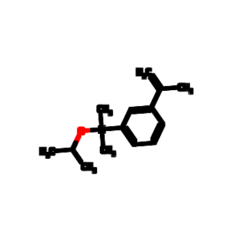 C=C(C)c1cccc([Si](C)(C)OC(C)C)c1